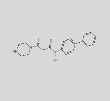 Cl.O=C(CC(=O)N1CCNCC1)Nc1ccc(-c2ccccc2)cc1